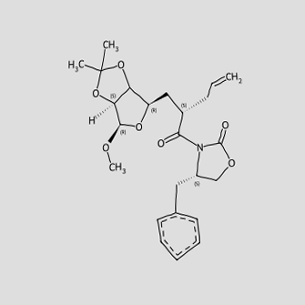 C=CC[C@@H](C[C@H]1O[C@@H](OC)[C@H]2OC(C)(C)OC12)C(=O)N1C(=O)OC[C@@H]1Cc1ccccc1